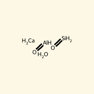 O.O=[SiH2].[CaH2].[O]=[AlH]